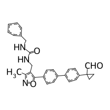 Cc1noc(-c2ccc(-c3ccc(C4(C=O)CC4)cc3)cc2)c1CNC(=O)NCc1ccccc1